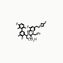 Cc1cc(-c2c(C)ccc(F)c2C)cc(C(CC(=O)O)NC(=O)C(CC(C)C)n2cc(CCN3CC(F)C3)cc(F)c2=O)c1F